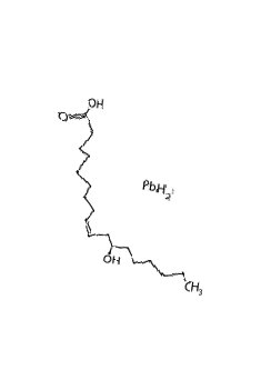 CCCCCC[C@@H](O)C/C=C\CCCCCCCC(=O)O.[PbH2]